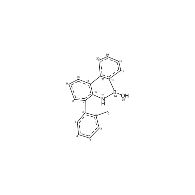 Cc1ccccc1-c1cccc2c1NB(O)c1ccccc1-2